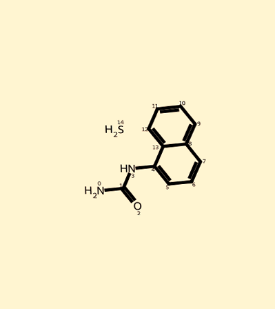 NC(=O)Nc1cccc2ccccc12.S